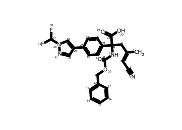 CC(=CC#N)CC(NC(=O)OCc1ccccc1)(C(=O)O)c1ccc(-c2cnn(C(F)F)c2)cc1